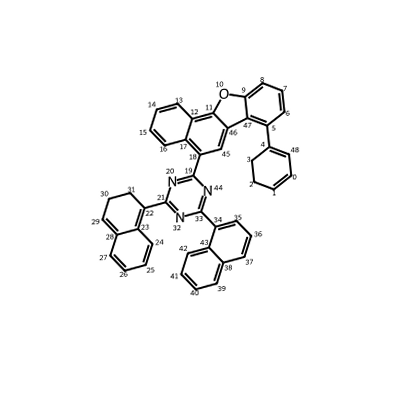 C1=CCCC(c2cccc3oc4c5ccccc5c(-c5nc(C6=c7ccccc7=CCC6)nc(-c6cccc7ccccc67)n5)cc4c23)=C1